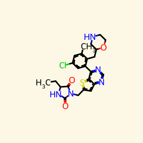 CCC1NC(=O)N(Cc2cc3ncnc(-c4cc(Cl)cc(C)c4CC4CNCCO4)c3s2)C1=O